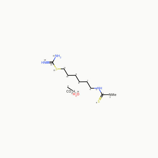 CC(=O)O.CNC(=S)NCCCCCCSC(=N)N.O